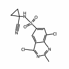 Cc1nc(Cl)c2cc(S(=O)(=O)NC3(C#N)CC3)cc(Cl)c2n1